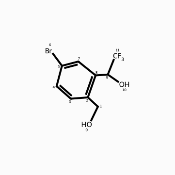 OCc1ccc(Br)cc1C(O)C(F)(F)F